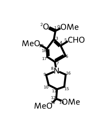 COC(=O)c1c(C=O)cc(N2CCC(C(OC)OC)CC2)cc1OC